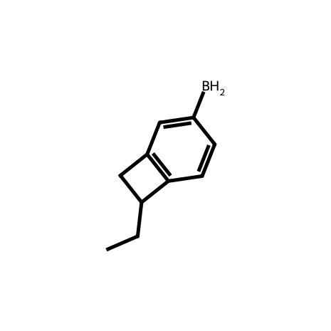 Bc1ccc2c(c1)CC2CC